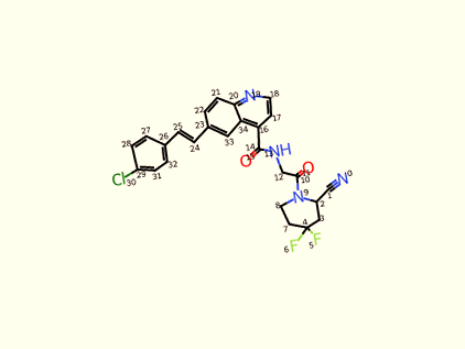 N#CC1CC(F)(F)CCN1C(=O)CNC(=O)c1ccnc2ccc(/C=C/c3ccc(Cl)cc3)cc12